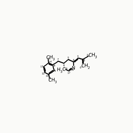 C=C(C)/C=C(CCCc1cc(C)ccc1C)\N=C/C